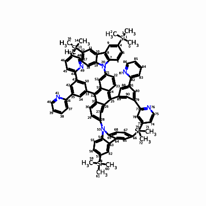 C[Si](C)(C)c1ccc2c(c1)c1cc([Si](C)(C)C)ccc1n2-c1ccc2c3c4cc(ccc4c(-c4cc(-c5ccccn5)cc(-c5ccccn5)c4)c2c1)-n1c2ccc([Si](C)(C)C)cc2c2cc(ccc21)[Si](C)(C)c1ccnc(c1)-c1cc(-c2ccccn2)cc-3c1